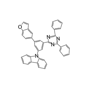 c1ccc(-c2nc(-c3ccccc3)nc(-c3cc(-c4ccc5occc5c4)cc(-n4c5ccccc5c5ccccc54)c3)n2)cc1